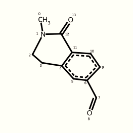 CN1CCc2cc(C=O)ccc2C1=O